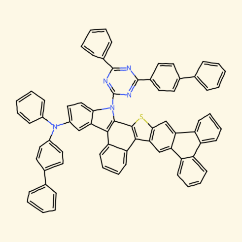 c1ccc(-c2ccc(-c3nc(-c4ccccc4)nc(-n4c5ccc(N(c6ccccc6)c6ccc(-c7ccccc7)cc6)cc5c5c6ccccc6c6c7cc8c9ccccc9c9ccccc9c8cc7sc6c54)n3)cc2)cc1